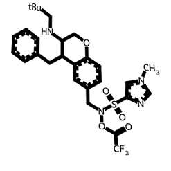 Cn1cnc(S(=O)(=O)N(Cc2ccc3c(c2)C(Cc2ccccc2)C(NCC(C)(C)C)CO3)OC(=O)C(F)(F)F)c1